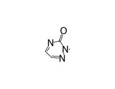 O=C1[N]N=CC=N1